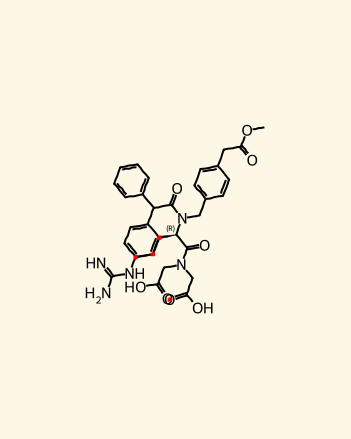 COC(=O)Cc1ccc(CN(C(=O)C(c2ccccc2)c2ccccc2)[C@H](CCCNC(=N)N)C(=O)N(CC(=O)O)CC(=O)O)cc1